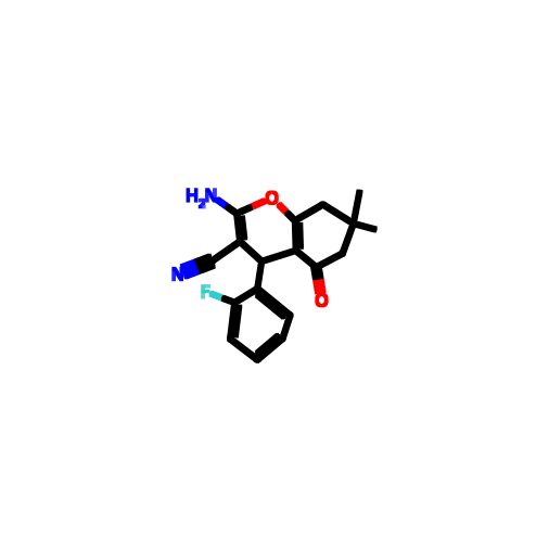 CC1(C)CC(=O)C2=C(C1)OC(N)=C(C#N)C2c1ccccc1F